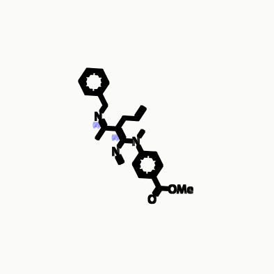 C=CCC(/C(C)=N\Cc1ccccc1)=C(/N=C)N(C)c1ccc(C(=O)OC)cc1